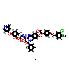 Cc1cc(Oc2ccc(C[C@H](NC(=O)[C@@H]3Cc4cc5c(cc4CN3C(=O)c3ccccc3)O[C@@H](c3ccc(OCc4ccc(Cl)c(Cl)c4)cc3)CO5)C(=O)O)cc2)ccn1